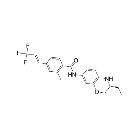 CC[C@H]1COc2cc(NC(=O)c3ccc(/C=C/C(F)(F)F)cc3C)ccc2N1